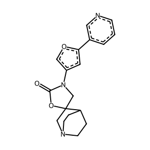 O=C1OC2(CN3CCC2CC3)CN1c1coc(-c2cccnc2)c1